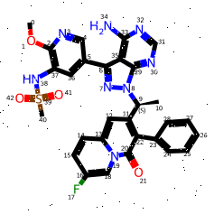 COc1ncc(-c2nn([C@@H](C)c3cc4ccc(F)cn4c(=O)c3-c3ccccc3)c3ncnc(N)c23)cc1NS(C)(=O)=O